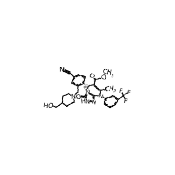 COC(=O)C1=C(C)N(c2cccc(C(F)(F)F)c2)c2n[nH]c(=O)n2[C@@H]1c1ccc(C#N)cc1CN1CCC(CO)CC1